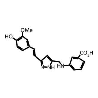 COc1cc(C=Cc2cc(CNc3cccc(C(=O)O)c3)[nH]n2)ccc1O